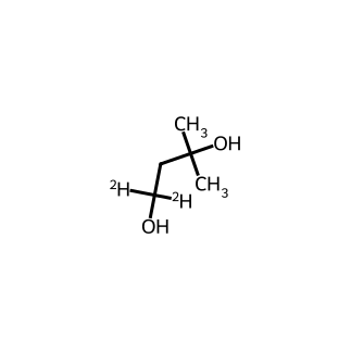 [2H]C([2H])(O)CC(C)(C)O